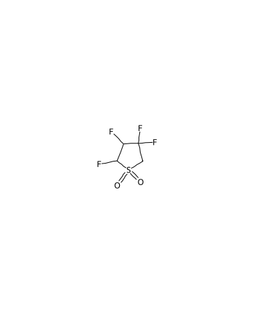 O=S1(=O)CC(F)(F)C(F)C1F